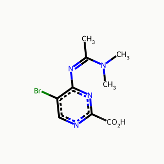 CC(=Nc1nc(C(=O)O)ncc1Br)N(C)C